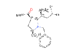 CCC(CC)C[C@H](NC(C)=O)[C@H]1[C@H](C(=O)NC)C[C@H](C(=O)O)N1Cc1ccccc1